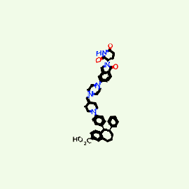 O=C1CC[C@H](N2Cc3cc(N4CCN(CC5CCN(c6ccc([C@@H]7c8ccc(C(=O)O)cc8CCC[C@@H]7c7ccccc7)cc6)CC5)CC4)ccc3C2=O)C(=O)N1